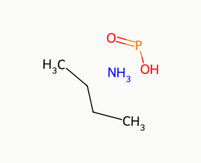 CCCC.N.O=PO